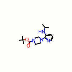 CC(C)Nc1cccnc1N1CCN(C(=O)OC(C)(C)C)CC1